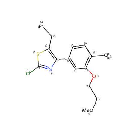 COCCOc1cc(-c2nc(Cl)sc2CC(C)C)ccc1C(F)(F)F